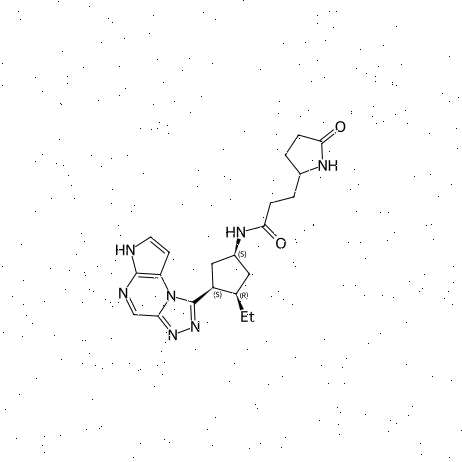 CC[C@@H]1C[C@H](NC(=O)CCC2CCC(=O)N2)C[C@@H]1c1nnc2cnc3[nH]ccc3n12